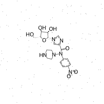 O=C(c1cn([C@@H]2O[C@H](CO)[C@@H](O)[C@H]2O)cn1)N(c1ccc([N+](=O)[O-])cc1)N1CCNCC1